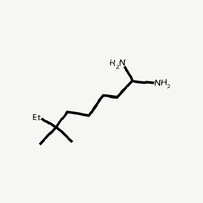 CCC(C)(C)CCCCC(N)N